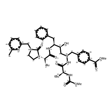 CC[C@H](C)[C@@H](C(=O)N[C@@H](Cc1ccccc1)[C@@H](O)CN(Cc1ccc(C(=O)OC)cc1)NC(=O)[C@@H](NC(=O)OC)C(C)(C)C)N1CCN(Cc2cccc(C)n2)C1=O